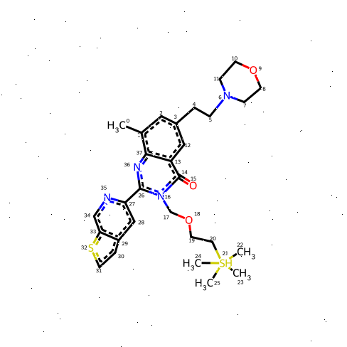 Cc1cc(CCN2CCOCC2)cc2c(=O)n(COCC[SH](C)(C)(C)C)c(-c3cc4ccsc4cn3)nc12